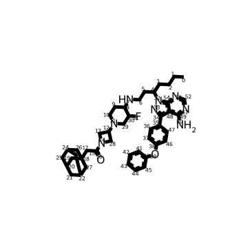 CCCCC(CCNC1CCN(C2CN(C(=O)CC34CC5CC(CC(C5)C3)C4)C2)CC1F)n1nc(-c2ccc(Oc3ccccc3)cc2)c2c(N)ncnc21